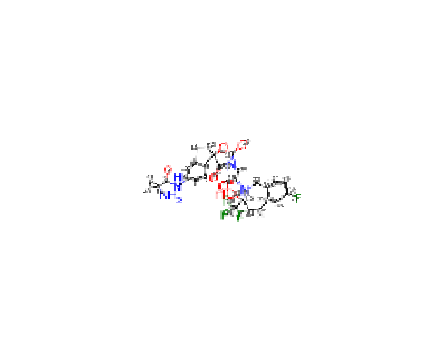 NC1(C(=O)Nc2ccc3c(c2)CCC32OC(=O)N(CC(=O)N3Cc4ccc(F)cc4CC[C@]3(O)C(F)(F)F)C2=O)CC1